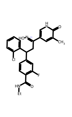 CCNC(=O)c1ccc(C(C/C(=N\O)c2c[nH]c(=O)c(C)c2)c2ccccc2Cl)cc1F